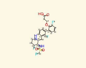 O=C(O)CCOc1c(F)cccc1-c1cccc(C[C@@H]2NCC[C@H](F)[C@@H]2NS(=O)(=O)CF)c1F